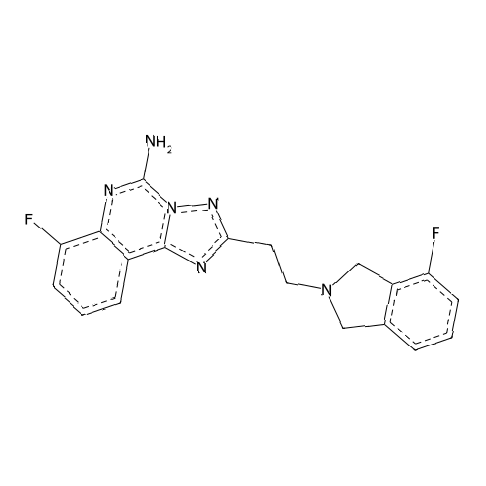 Nc1nc2c(F)cccc2c2nc(CCN3Cc4cccc(F)c4C3)nn12